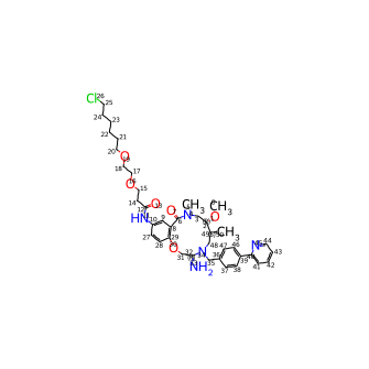 CO[C@H]1CN(C)C(=O)c2cc(NC(=O)CCOCCOCCCCCCCl)ccc2OC[C@H](N)N(Cc2ccc(-c3ccccn3)cc2)C[C@@H]1C